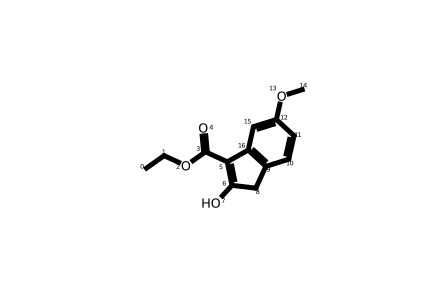 CCOC(=O)C1=C(O)Cc2ccc(OC)cc21